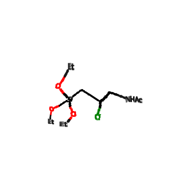 CCO[Si](CC(Cl)CNC(C)=O)(OCC)OCC